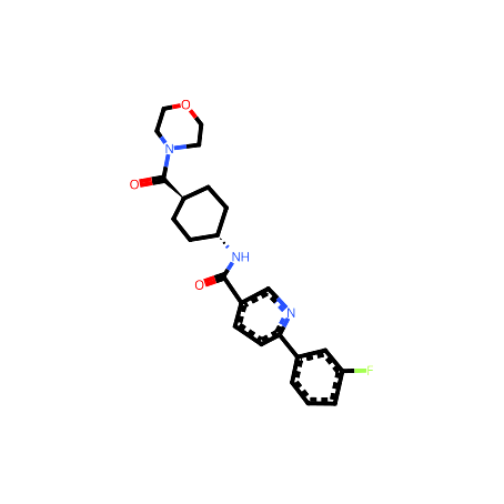 O=C(N[C@H]1CC[C@H](C(=O)N2CCOCC2)CC1)c1ccc(-c2cccc(F)c2)nc1